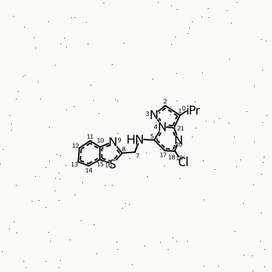 CC(C)c1cnn2c(NCc3nc4ccccc4s3)cc(Cl)nc12